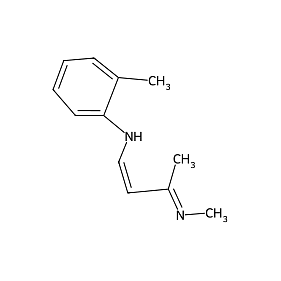 C/N=C(C)/C=C\Nc1ccccc1C